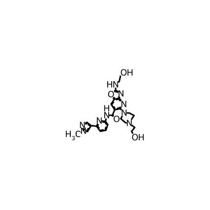 Cn1cc(-c2cccc(NC(=O)c3cc4oc(NCCO)nc4nc3N3CCN(CCO)CC3)n2)cn1